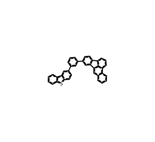 c1cc(-c2ccc3c(c2)-c2cc4ccccc4c4cccc-3c24)cc(-c2ccc3sc4ccccc4c3c2)c1